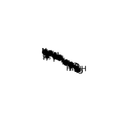 O=C1CC[C@H](NC(=O)c2ccc(N3CCN(CCC4CCN(c5ncc(-c6ccc7c8cnccc8n(C(F)F)c7c6)cc5F)CC4)CC3)cc2F)C(=O)N1